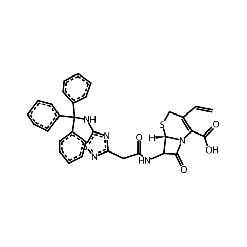 C=CC1=C(C(=O)O)N2C(=O)C(NC(=O)Cc3nsc(NC(c4ccccc4)(c4ccccc4)c4ccccc4)n3)[C@@H]2SC1